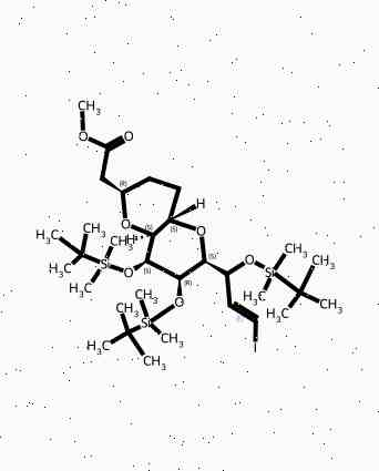 COC(=O)C[C@H]1CC[C@@H]2O[C@@H](C(/C=C/I)O[Si](C)(C)C(C)(C)C)[C@@H](O[Si](C)(C)C(C)(C)C)[C@@H](O[Si](C)(C)C(C)(C)C)[C@H]2O1